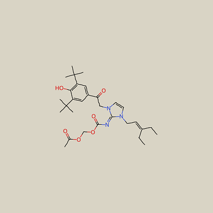 CCC(=CCn1ccn(CC(=O)c2cc(C(C)(C)C)c(O)c(C(C)(C)C)c2)/c1=N\C(=O)OCOC(C)=O)CC